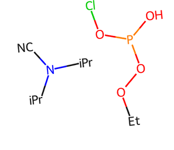 CC(C)N(C#N)C(C)C.CCOOP(O)OCl